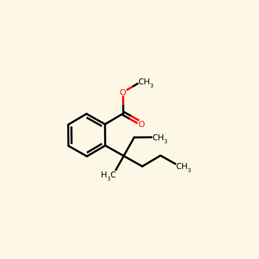 CCCC(C)(CC)c1ccccc1C(=O)OC